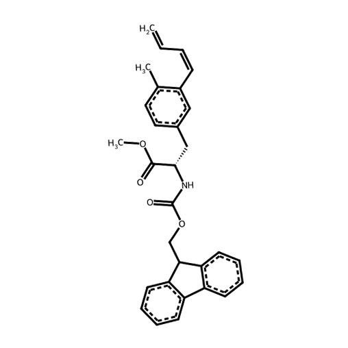 C=C/C=C\c1cc(C[C@H](NC(=O)OCC2c3ccccc3-c3ccccc32)C(=O)OC)ccc1C